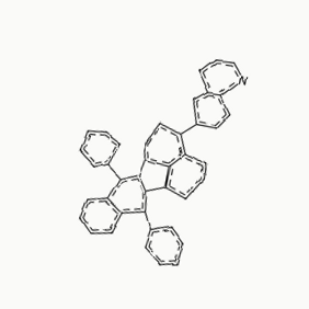 c1ccc(-c2c3c(c(-c4ccccc4)c4ccccc24)-c2ccc(-c4ccc5ncccc5c4)c4cccc-3c24)cc1